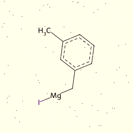 Cc1cccc([CH2][Mg][I])c1